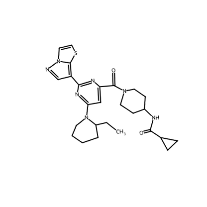 CCC1CCCCN1c1cc(C(=O)N2CCC(NC(=O)C3CC3)CC2)nc(-c2cnn3ccsc23)n1